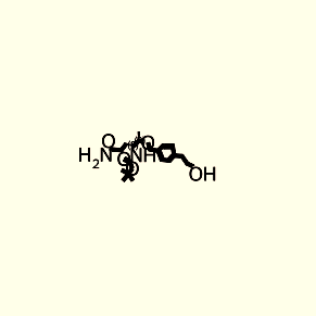 C[C@@H](OCc1ccc(CCCO)cc1)[C@H](CCC(N)=O)NC(=O)OC(C)(C)C